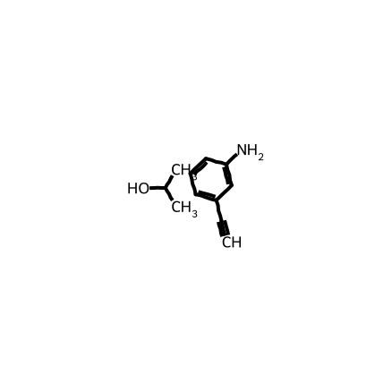 C#Cc1cccc(N)c1.CC(C)O